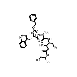 CCCC[C@H](NC(=O)[C@H](Cc1ccnc2ccccc12)NC(=O)OCc1ccccc1)C(=O)NC(CC(C)C)C(O)CC(=O)N[C@H](CO)C(C)CC